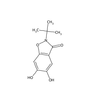 CC(C)(C)n1oc2cc(O)c(O)cc2c1=O